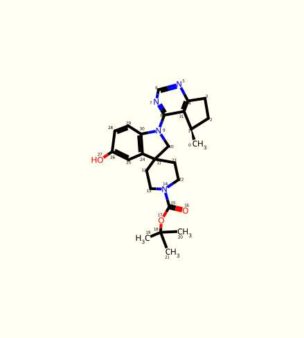 C[C@@H]1CCc2ncnc(N3CC4(CCN(C(=O)OC(C)(C)C)CC4)c4cc(O)ccc43)c21